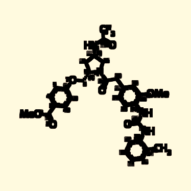 COC(=O)c1ccc(OC[C@@H]2C[C@@H](NC(=O)C(F)(F)F)CN2C(=O)Cc2ccc(NC(=O)Nc3ccccc3C)c(OC)c2)cc1